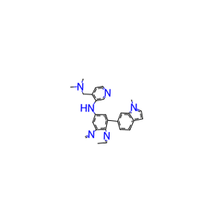 C=Nc1cc(Nc2cnccc2CN(C)C)cc(-c2ccc3ccn(C)c3c2)c1/N=C\C